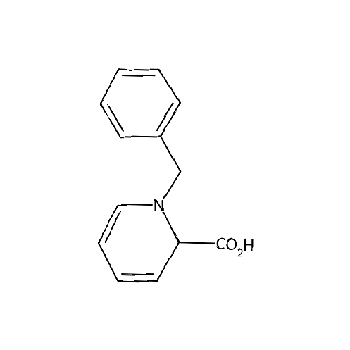 O=C(O)C1C=CC=CN1Cc1ccccc1